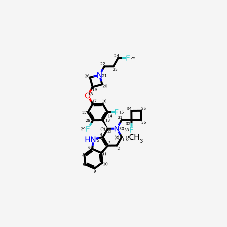 C[C@@H]1Cc2c([nH]c3ccccc23)[C@@H](c2c(F)cc(OC3CN(CCCF)C3)cc2F)N1CC1(F)CCC1